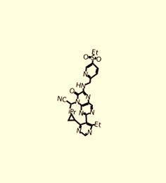 CCc1ncnc(C2CC2)c1-c1ncc2nc(NCc3ccc(S(=O)(=O)CC)cn3)c(=O)n(C(C#N)C(C)C)c2n1